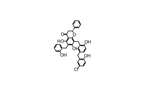 O=C1C[C@@H](c2ccccc2)Oc2c(Cc3cc(Cc4cc(Cl)ccc4O)ccc3O)c(O)c(Cc3ccccc3O)c(O)c21